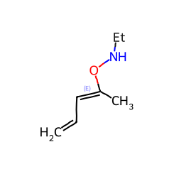 C=C/C=C(\C)ONCC